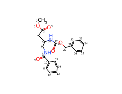 COC(=O)CC(CNC(=O)c1ccccc1)NC(=O)OCc1ccccc1